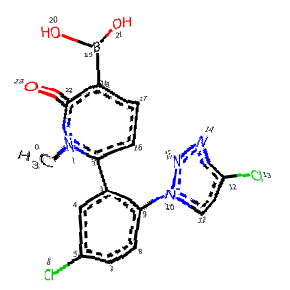 Cn1c(-c2cc(Cl)ccc2-n2cc(Cl)nn2)ccc(B(O)O)c1=O